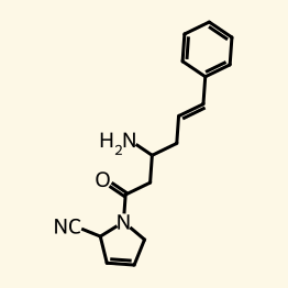 N#CC1C=CCN1C(=O)CC(N)CC=Cc1ccccc1